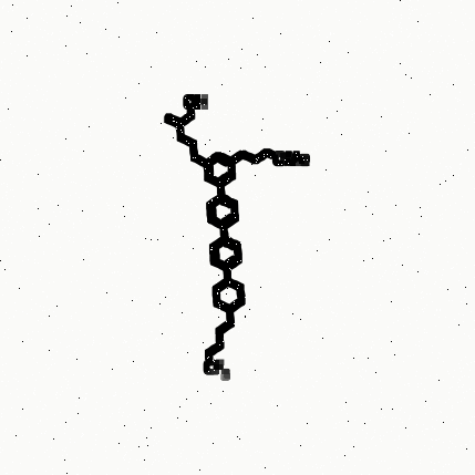 C=C(CO)CCCc1cc(CCCOC)cc(-c2ccc(-c3ccc(C4CCC(CCCCC(F)(F)F)CC4)cc3)cc2)c1